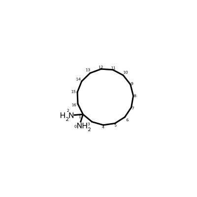 NC1(N)CCCCCCCCCCCCCC1